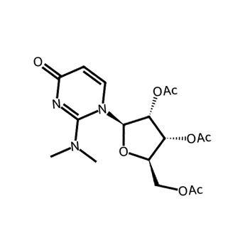 CC(=O)OC[C@H]1O[C@@H](n2ccc(=O)nc2N(C)C)[C@H](OC(C)=O)[C@@H]1OC(C)=O